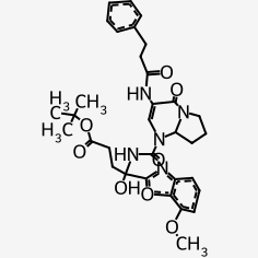 COc1cccc2nc(C(O)(CCC(=O)OC(C)(C)C)NC(=O)N3C=C(NC(=O)CCc4ccccc4)C(=O)N4CCCC34)oc12